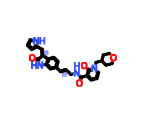 O=C1Nc2cc(/C=C/CNC(=O)c3cccn(CC4CCOCC4)c3=O)ccc2/C1=C/c1ccc[nH]1